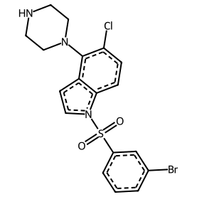 O=S(=O)(c1cccc(Br)c1)n1ccc2c(N3CCNCC3)c(Cl)ccc21